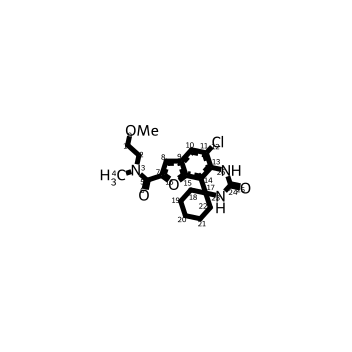 COCCN(C)C(=O)c1cc2cc(Cl)c3c(c2o1)C1(CCCCC1)NC(=O)N3